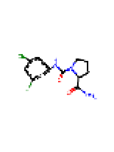 NC(=O)C1CCCN1C(=O)Nc1cc(Cl)cc(Cl)c1